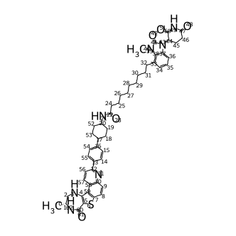 C[C@@H]1CNc2c(sc3ccc4nc(-c5ccc(C6CCC(NC(=O)CCCCCCCCCc7cccc8c7n(C)c(=O)n8C7CCC(=O)NC7=O)CC6)cc5)ccc4c23)C(=O)N1